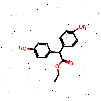 CCOC(=O)C(c1ccc(O)cc1)c1ccc(O)cc1